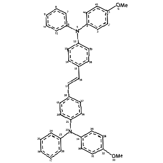 COc1ccc(N(c2ccccc2)c2ccc(C=Cc3ccc(N(c4ccccc4)c4ccc(OC)cc4)cc3)cc2)cc1